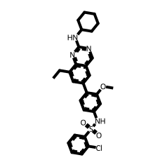 CCc1cc(-c2ccc(NS(=O)(=O)c3ccccc3Cl)cc2OC)cc2cnc(NC3CCCCC3)nc12